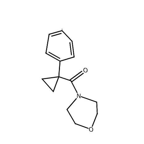 O=C(N1CCOCC1)C1(c2cc[c]cc2)CC1